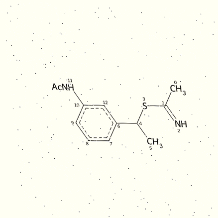 CC(=N)SC(C)c1cccc(NC(C)=O)c1